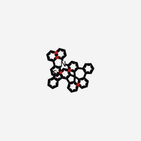 c1ccc(-c2ccccc2N(c2ccccc2)c2ccc3c(c2)C2(c4ccccc4-c4ccccc4-3)c3ccccc3-c3c2ccc2sc4ccccc4c32)cc1